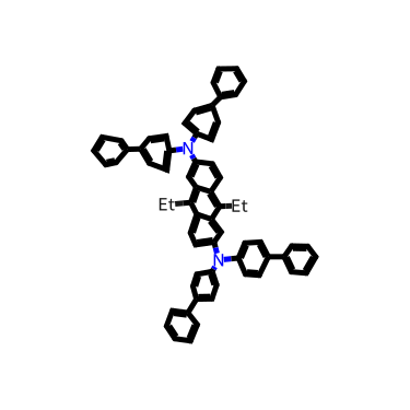 CCc1c2ccc(N(c3ccc(-c4ccccc4)cc3)c3ccc(-c4ccccc4)cc3)cc2c(CC)c2ccc(N(c3ccc(-c4ccccc4)cc3)c3ccc(-c4ccccc4)cc3)cc12